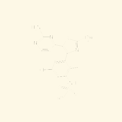 CCCS(=O)(=O)Nc1cc(Cl)cc(-c2nc(C(C)(C)C)sc2-c2ccnc(N)n2)c1F